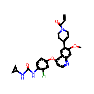 C=CC(=O)N1CC=C(c2cc3c(Oc4ccc(NC(=O)NC5CC5)c(Cl)c4)ccnc3cc2OC)CC1